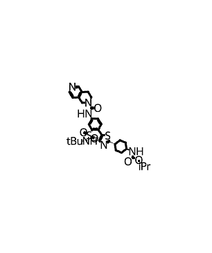 CC(C)OC(=O)N[C@H]1CC[C@H](c2ncc(-c3ccc(NC(=O)N4CCc5cnccc5C4)cc3S(=O)(=O)NC(C)(C)C)s2)CC1